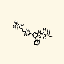 CCNC(=O)Nc1nc2cc(-c3cnc(CCCN[SH](=O)=O)nc3)cc(-c3ccccn3)c2s1